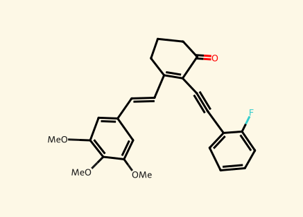 COc1cc(C=CC2=C(C#Cc3ccccc3F)C(=O)CCC2)cc(OC)c1OC